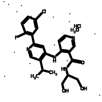 CC(C)c1cnc(-c2cc(Cl)ccc2F)cc1Nc1ccncc1C(=O)NC(CO)CO.Cl.O